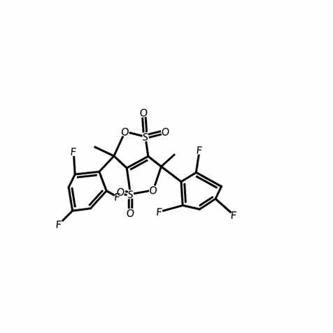 CC1(c2c(F)cc(F)cc2F)OS(=O)(=O)C2=C1S(=O)(=O)OC2(C)c1c(F)cc(F)cc1F